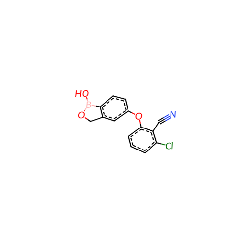 N#Cc1c(Cl)cccc1Oc1ccc2c(c1)COB2O